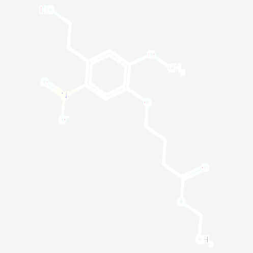 CCOC(=O)CCCOc1cc([N+](=O)[O-])c(CCO)cc1OC